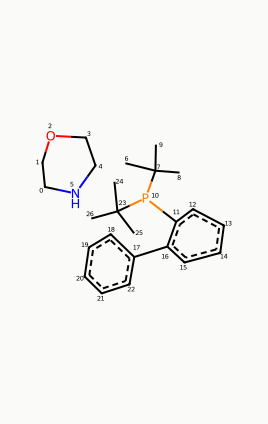 C1COCCN1.CC(C)(C)P(c1ccccc1-c1ccccc1)C(C)(C)C